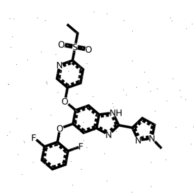 CCS(=O)(=O)c1ccc(Oc2cc3[nH]c(-c4ccn(C)n4)nc3cc2Oc2c(F)cccc2F)cn1